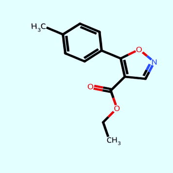 CCOC(=O)c1cnoc1-c1ccc(C)cc1